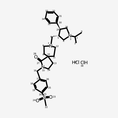 CC(C)N1C[C@H](CN2CCC3(CC2)CCN(Cc2ccc(S(C)(=O)=O)cc2)C3=O)[C@@H](c2ccccc2)C1.Cl.Cl